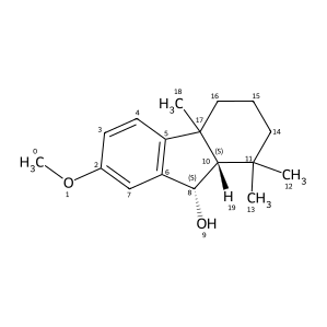 COc1ccc2c(c1)[C@@H](O)[C@H]1C(C)(C)CCCC21C